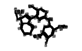 CCc1cnc(Nc2cc([N+](=O)[O-])c(F)cc2OC)nc1-c1cn(CC(=O)O)c2ccccc12